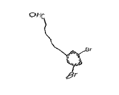 O=CCCCCc1cc(Br)cc(Br)c1